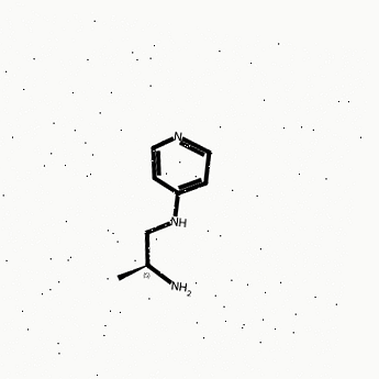 C[C@H](N)CNc1ccncc1